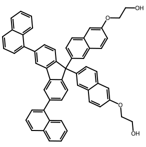 OCCOc1ccc2cc(C3(c4ccc5cc(OCCO)ccc5c4)c4ccc(-c5cccc6ccccc56)cc4-c4cc(-c5cccc6ccccc56)ccc43)ccc2c1